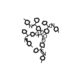 Cc1ccc(N=C=C(c2ccccc2)c2ccc(OCC(Oc3ccc(C(=C=Nc4ccc(C)cc4)c4ccccc4)cc3)C(Oc3ccc(C(=C=Nc4ccc(C)cc4)c4ccccc4)cc3)C(C)Oc3ccc(C(=C=Nc4ccc(C)cc4)c4ccccc4)cc3)cc2)cc1